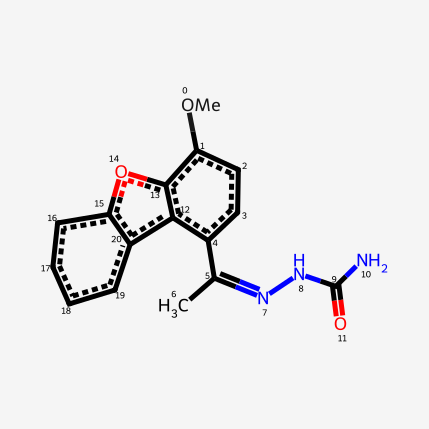 COc1ccc(/C(C)=N\NC(N)=O)c2c1oc1ccccc12